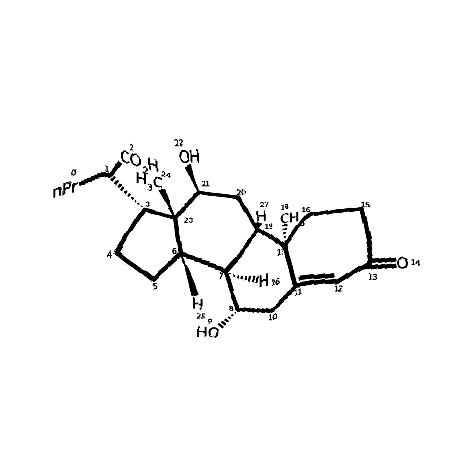 CCCC(C(=O)O)[C@H]1CC[C@H]2[C@@H]3[C@@H](O)CC4=CC(=O)CC[C@]4(C)[C@H]3C[C@H](O)[C@@]12C